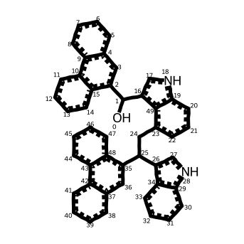 OC(c1cc2ccccc2c2ccccc12)c1c[nH]c2cccc(CC(c3c[nH]c4ccccc34)c3cc4ccccc4c4ccccc34)c12